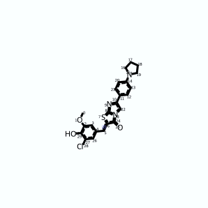 COc1cc(/C=c2\sc3nc(-c4ccc(N5CCCC5)cc4)cn3c2=O)cc(Cl)c1O